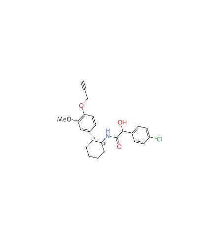 C#CCOc1ccc([C@H]2CCCC[C@@H]2NC(=O)C(O)c2ccc(Cl)cc2)cc1OC